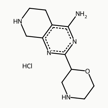 Cl.Nc1nc(C2CNCCO2)nc2c1CCNC2